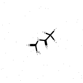 O=C(P)OC(=O)C(F)(F)F